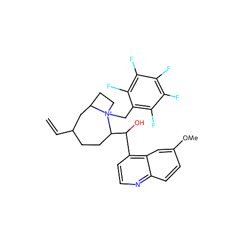 C=CC1CCC(C(O)c2ccnc3ccc(OC)cc23)[N+]2(Cc3c(F)c(F)c(F)c(F)c3F)CCC2C1